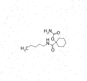 CCCCCNC(=O)C1(OC(N)=O)CCCCC1